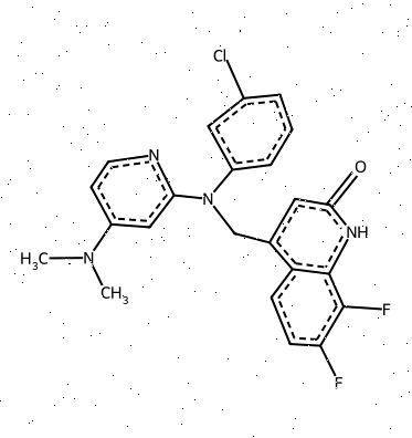 CN(C)c1ccnc(N(Cc2cc(=O)[nH]c3c(F)c(F)ccc23)c2cccc(Cl)c2)c1